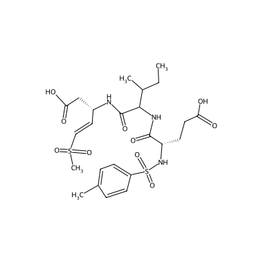 CCC(C)C(NC(=O)[C@H](CCC(=O)O)NS(=O)(=O)c1ccc(C)cc1)C(=O)N[C@H](/C=C/S(C)(=O)=O)CC(=O)O